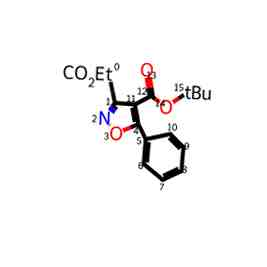 CCOC(=O)c1noc(-c2ccccc2)c1C(=O)OC(C)(C)C